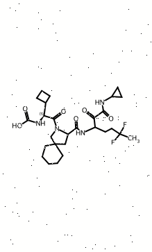 CC(F)(F)CCC(NC(=O)C1CC2(CCCCC2)CN1C(=O)[C@@H](NC(=O)O)C1CCC1)C(=O)C(=O)NC1CC1